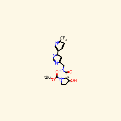 CC(C)(C)OC(=O)N1CC[C@@H](O)[C@H]1C(=O)NCc1cc(-c2ccc(C(F)(F)F)nc2)ncn1